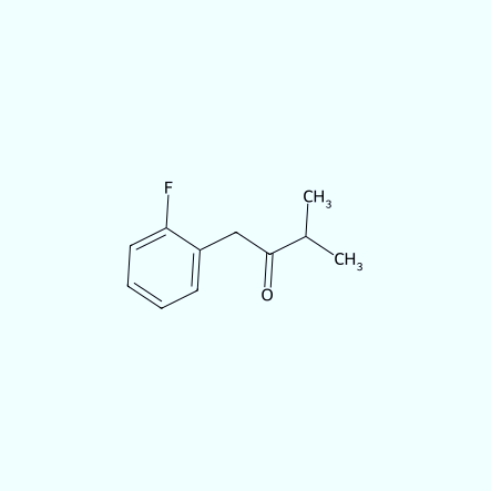 CC(C)C(=O)Cc1ccccc1F